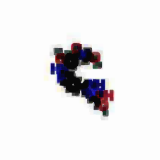 COCC(O)CN/C=C(\C=N)c1ccc2cnc(Nc3ccc(C(=O)N4CC(OC)C4)cc3OC)cc2c1